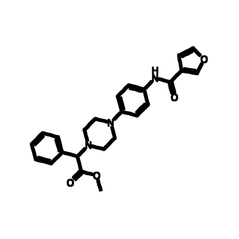 COC(=O)C(c1ccccc1)N1CCN(c2ccc(NC(=O)c3ccoc3)cc2)CC1